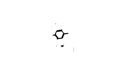 COc1c(C)c(OC(=O)O)c(O)c(OC)c1OC